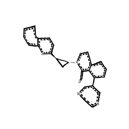 O=c1c2c(-c3cncnc3)cccc2ccn1[C@@H]1C[C@H]1c1ccc2ccccc2n1